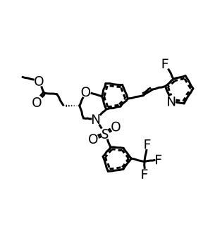 COC(=O)CC[C@H]1CN(S(=O)(=O)c2cccc(C(F)(F)F)c2)c2cc(/C=C/c3ncccc3F)ccc2O1